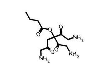 CCCC(=O)OC(CC(=O)CN)(C(=O)CN)C(=O)CN